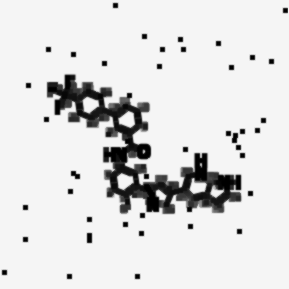 Cc1ccc(NC(=O)c2cccc(-c3ccc(C(F)(F)F)cc3)c2)cc1-n1cc(C2=CNC3NC=CC3=C2)cn1